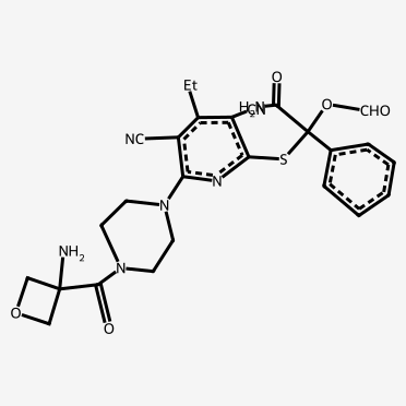 CCc1c(C#N)c(SC(OC=O)(C(N)=O)c2ccccc2)nc(N2CCN(C(=O)C3(N)COC3)CC2)c1C#N